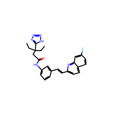 CCC(CC)(CC(=O)Nc1cccc(C=Cc2ccc3ccc(F)cc3n2)c1)c1nnn[nH]1